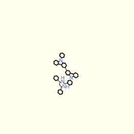 c1ccc(C2CC(c3ccccc3)NC(c3cccc(-n4c5ccccc5c5cc(-c6ccc7c(c6)c6ccccc6n7-c6ccccc6)ccc54)c3)N2)cc1